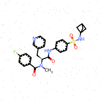 CN(C(=O)c1ccc(F)cc1)[C@@H](Cc1cccnc1)C(=O)Nc1ccc(S(=O)(=O)NC23CC(C2)C3)cc1